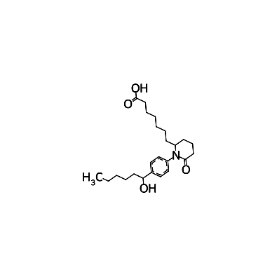 CCCCCC(O)c1ccc(N2C(=O)CCCC2CCCCCCC(=O)O)cc1